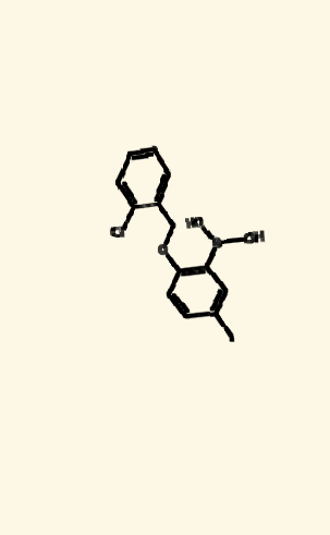 Cc1ccc(OCc2ccccc2Cl)c(B(O)O)c1